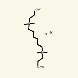 CCCCCCCCCCCC[N+](C)(C)CCCCCC[N+](C)(C)CCCCCCCCCCCC.[Br-].[Br-]